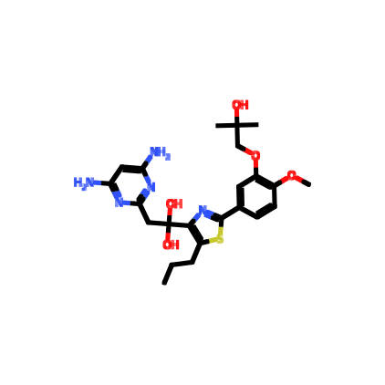 CCCc1sc(-c2ccc(OC)c(OCC(C)(C)O)c2)nc1C(O)(O)Cc1nc(N)cc(N)n1